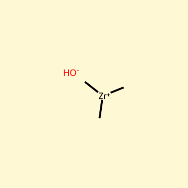 [CH3][Zr+]([CH3])[CH3].[OH-]